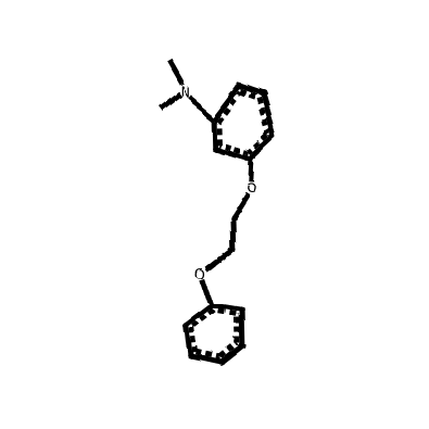 CN(C)c1cccc(OCCOc2ccccc2)c1